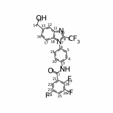 O=C(Nc1ccc(-n2c(C(F)(F)F)nc3cc(CO)ccc32)cc1)c1cc(F)cc(F)c1F